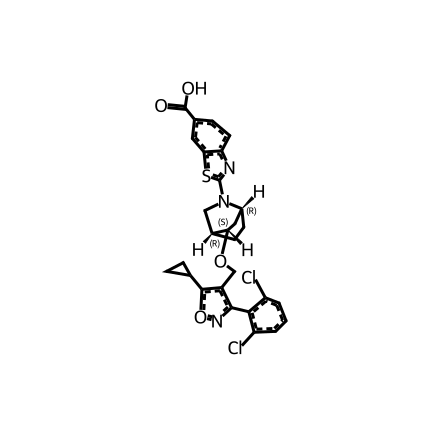 O=C(O)c1ccc2nc(N3C[C@H]4CC[C@@H]3C[C@@H]4OCc3c(-c4c(Cl)cccc4Cl)noc3C3CC3)sc2c1